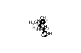 Cc1nc(C(C)(C)NC(=O)C2CNCCOC2)c2cccc(C)c2n1